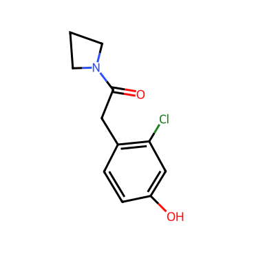 O=C(Cc1ccc(O)cc1Cl)N1CCC1